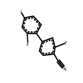 N#Cc1ccc(-c2ccc(I)cc2F)cc1F